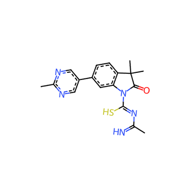 CC(=N)/N=C(\S)N1C(=O)C(C)(C)c2ccc(-c3cnc(C)nc3)cc21